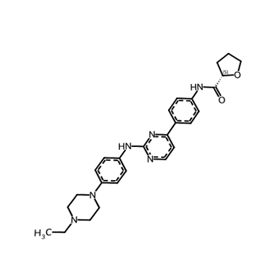 CCN1CCN(c2ccc(Nc3nccc(-c4ccc(NC(=O)[C@@H]5CCCO5)cc4)n3)cc2)CC1